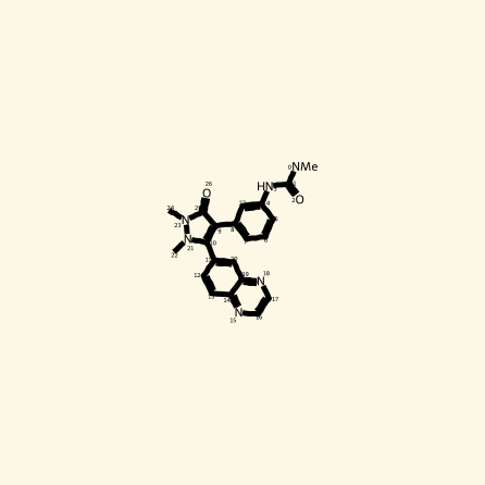 CNC(=O)Nc1cccc(-c2c(-c3ccc4nccnc4c3)n(C)n(C)c2=O)c1